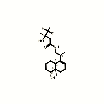 C[C@H](CNC(=O)C[C@](C)(O)C(F)(F)F)C1=CCC[C@H]2[C@@H](O)CCC[C@@]12C